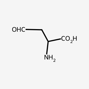 NC(CC=O)C(=O)O